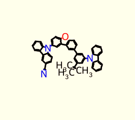 CC(C)(C)c1cc(-c2ccc3oc4ccc(-n5c6ccccc6c6cc(C#N)ccc65)cc4c3c2)cc(-n2c3ccccc3c3ccccc32)c1